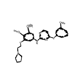 COc1cccc(Sc2ccnc(Nc3cc(OC)c(OC)c(OCCN4CCCC4)c3)n2)c1